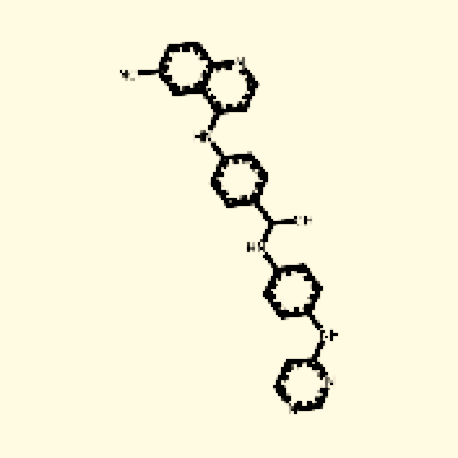 N#Cc1ccc2nccc(Nc3ccc(C(O)Nc4ccc(Nc5ccncn5)cc4)cc3)c2c1